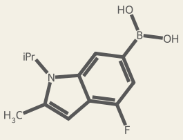 Cc1cc2c(F)cc(B(O)O)cc2n1C(C)C